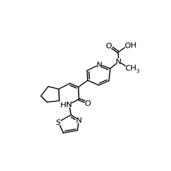 CN(C(=O)O)c1ccc(C(=CC2CCCC2)C(=O)Nc2nccs2)cn1